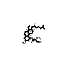 CC(C)CCC[C@@H](C)[C@H]1CC[C@H]2[C@@H]3CC=C4C[C@@H](O)CC(OC(=O)[C@@H](N)CS)[C@]4(C)[C@H]3CC[C@]12C